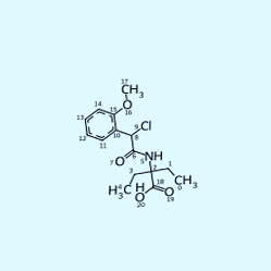 CCC(CC)(NC(=O)C(Cl)c1ccccc1OC)C(=O)O